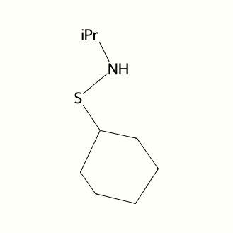 CC(C)NSC1CCCCC1